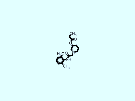 CCC(=O)OC1CCCN(CC(=O)Nc2c(C)cccc2C)C1